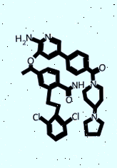 CC(Oc1cc(-c2ccc(C(=O)N3CCC(N4CCCC4)CC3)cc2)cnc1N)c1ccc(C(N)=O)c(CCc2c(Cl)cccc2Cl)c1